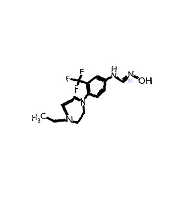 CCN1CCN(c2ccc(N/C=N/O)cc2C(F)(F)F)CC1